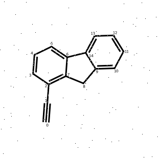 C#Cc1cccc2c1[CH]c1ccccc1-2